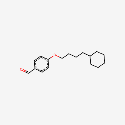 O=Cc1ccc(OCCCCC2CCCCC2)cc1